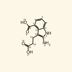 Nc1[nH]c2cccc(C(=O)O)c2c1CCC(=O)O